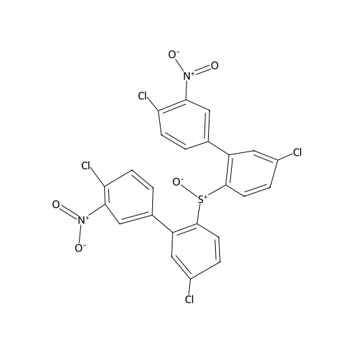 O=[N+]([O-])c1cc(-c2cc(Cl)ccc2[S+]([O-])c2ccc(Cl)cc2-c2ccc(Cl)c([N+](=O)[O-])c2)ccc1Cl